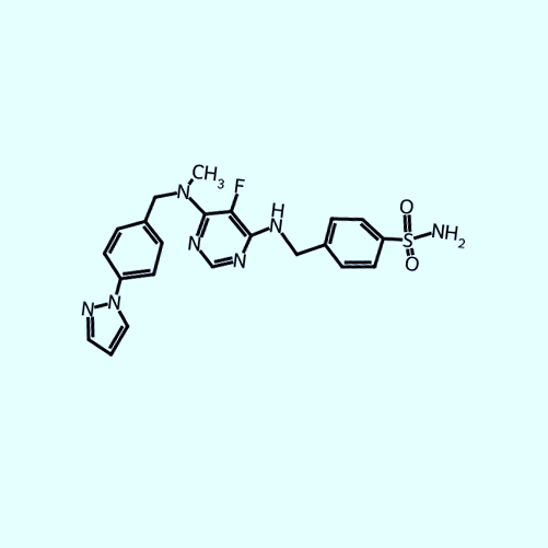 CN(Cc1ccc(-n2cccn2)cc1)c1ncnc(NCc2ccc(S(N)(=O)=O)cc2)c1F